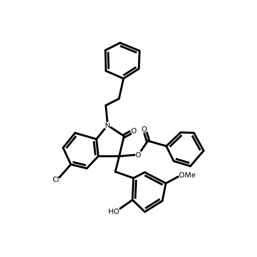 COc1ccc(O)c(CC2(OC(=O)c3ccccc3)C(=O)N(CCc3ccccc3)c3ccc(Cl)cc32)c1